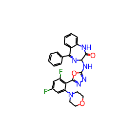 O=C1Nc2ccccc2C(c2ccccc2)=NC1Nc1nnc(-c2c(F)cc(F)cc2N2CCOCC2)o1